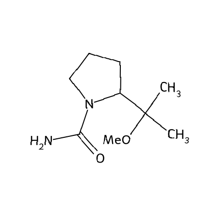 COC(C)(C)C1CCCN1C(N)=O